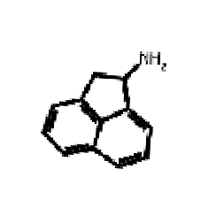 NC1Cc2cccc3cccc1c23